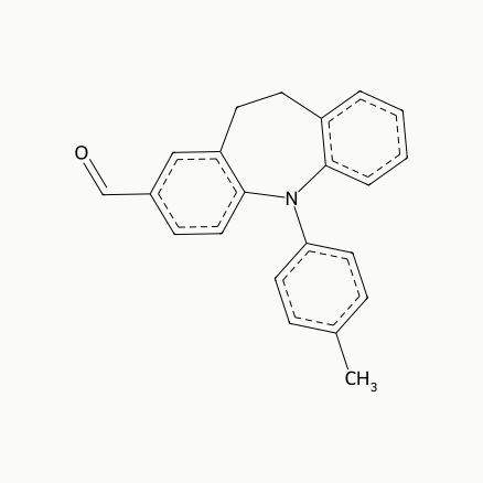 Cc1ccc(N2c3ccccc3CCc3cc(C=O)ccc32)cc1